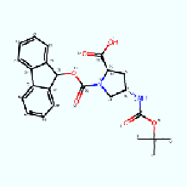 CC(C)(C)OC(=O)N[C@H]1C[C@H](C(=O)O)N(C(=O)OC2c3ccccc3-c3ccccc32)C1